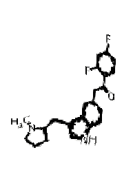 CN1CCCC1Cc1c[nH]c2ccc(CC(=O)c3ccc(F)cc3F)cc12